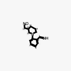 N=Cc1ccccc1N1CCCC(CN=O)C1